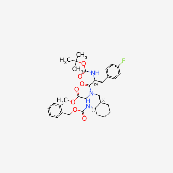 COC(=O)CN(C[C@H]1CCCC[C@@H]1NC(=O)OCc1ccccc1)C(=O)[C@H](Cc1ccc(F)cc1)NC(=O)OC(C)(C)C